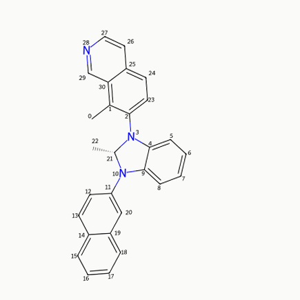 Cc1c(N2c3ccccc3N(c3ccc4ccccc4c3)[C@@H]2C)ccc2ccncc12